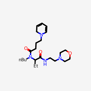 CCCCN(C(=O)CCCN1C=CC=CC1)C(CC)C(=O)NCCN1CCOCC1